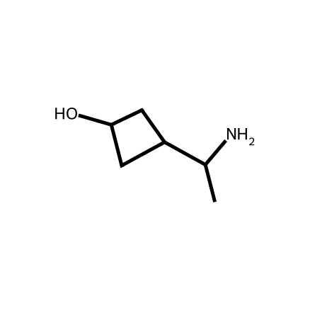 CC(N)C1CC(O)C1